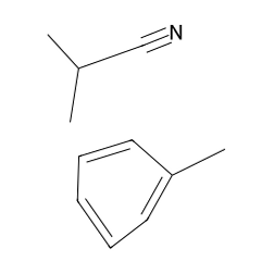 CC(C)C#N.Cc1ccccc1